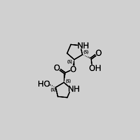 O=C(O)[C@H]1NCC[C@@H]1OC(=O)[C@H]1NCC[C@@H]1O